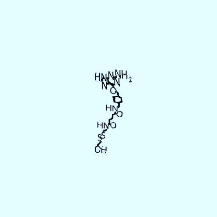 Nc1nc(OCc2ccc(CNC(=O)CCCC(=O)NCCSSCCO)cc2)c2nc[nH]c2n1